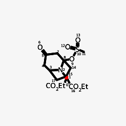 CCOC(=O)CN1C2CC(=O)CC1(OS(C)(=O)=O)CC(C(=O)OCC)C2